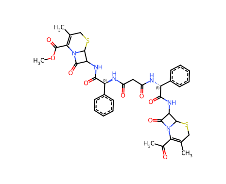 COC(=O)C1=C(C)CSC2C(NC(=O)[C@@H](NC(=O)CC(=O)N[C@@H](C(=O)NC3C(=O)N4C(C(C)=O)=C(C)CSC34)c3ccccc3)c3ccccc3)C(=O)N12